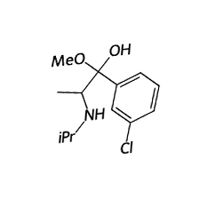 COC(O)(c1cccc(Cl)c1)C(C)NC(C)C